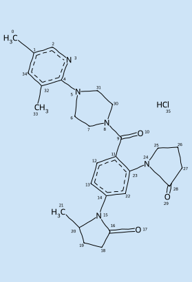 Cc1cnc(N2CCN(C(=O)c3ccc(N4C(=O)CCC4C)cc3N3CCCC3=O)CC2)c(C)c1.Cl